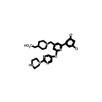 O=C(O)CC1CCN(Cc2cc(Oc3cnc(N4CCNCC4)nc3)nc(-c3cc(Cl)cc(Cl)c3)c2)CC1